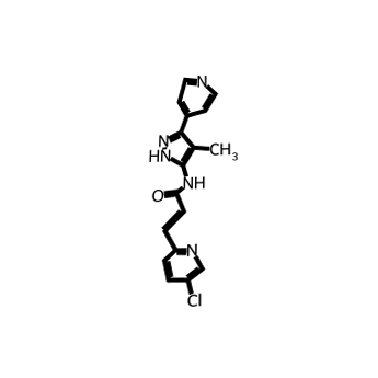 Cc1c(-c2ccncc2)n[nH]c1NC(=O)C=Cc1ccc(Cl)cn1